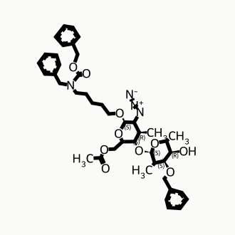 CC(=O)OCC1O[C@H](OCCCCCN(Cc2ccccc2)C(=O)OCc2ccccc2)C(N=[N+]=[N-])[C@@H](C)[C@@H]1O[C@@H]1OC(C)[C@@H](O)[C@@H](OCc2ccccc2)C1C